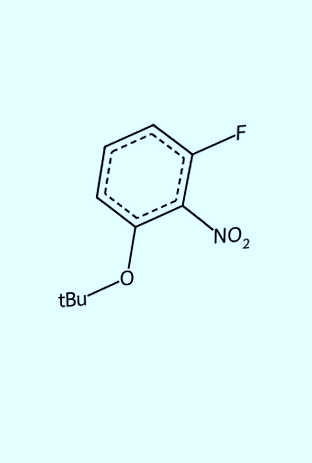 CC(C)(C)Oc1cccc(F)c1[N+](=O)[O-]